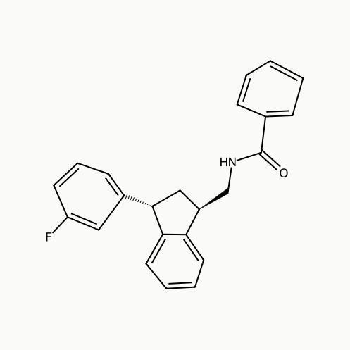 O=C(NC[C@@H]1C[C@@H](c2cccc(F)c2)c2ccccc21)c1ccccc1